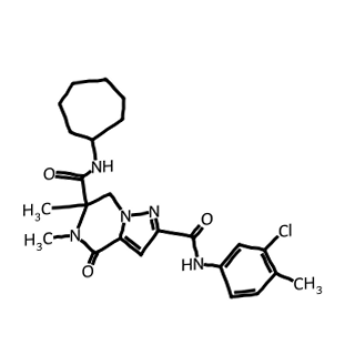 Cc1ccc(NC(=O)c2cc3n(n2)CC(C)(C(=O)NC2CCCCCC2)N(C)C3=O)cc1Cl